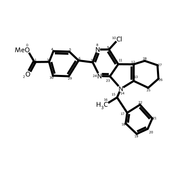 COC(=O)c1ccc(-c2nc(Cl)c3c4c(n(C(C)c5ccccc5)c3n2)CCCC4)cc1